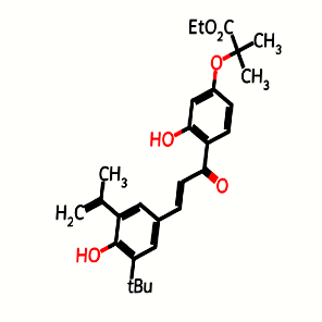 C=C(C)c1cc(/C=C/C(=O)c2ccc(OC(C)(C)C(=O)OCC)cc2O)cc(C(C)(C)C)c1O